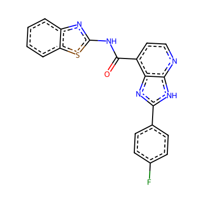 O=C(Nc1nc2ccccc2s1)c1ccnc2[nH]c(-c3ccc(F)cc3)nc12